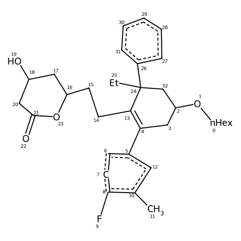 CCCCCCOC1CC(c2ccc(F)c(C)c2)=C(CCC2CC(O)CC(=O)O2)C(CC)(c2ccccc2)C1